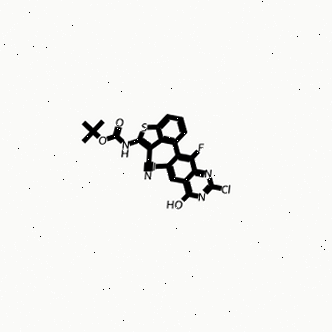 CC(C)(C)OC(=O)Nc1sc2cccc(-c3c(I)cc4c(O)nc(Cl)nc4c3F)c2c1C#N